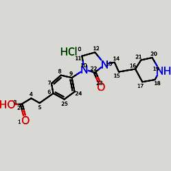 Cl.O=C(O)CCc1ccc(N2CCN(CCC3CCNCC3)C2=O)cc1